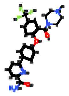 CN1CCN(C(=O)c2cc(C(F)(F)F)ccc2Oc2ccc(-c3cccc(C(N)=O)n3)cc2)CC1